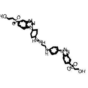 O=S(=O)(CCO)c1ccc2c(c1)nnn2-c1ccc(NCCNNC2CCC(n3nnc4cc(S(=O)(=O)CCO)ccc43)CC2)cc1